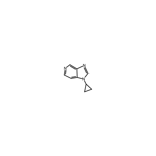 [c]1nc2cnccc2n1C1CC1